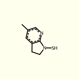 Cc1cnc2c(c1)CCN2S